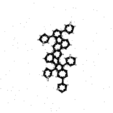 c1cncc(-c2ccc3c(-c4cccnc4)c4c5cc6c(cc7c8c(-c9cccnc9)ccc(-c9cccnc9)c8c8cccc6c87)c6cccc(c4c(-c4cccnc4)c3c2)c65)c1